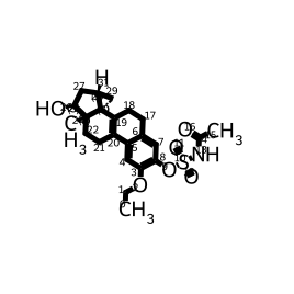 CCOc1cc2c(cc1OS(=O)(=O)NC(C)=O)CCC1=C2CC[C@]2(C)[C@@H](O)C[C@@H]3C[C@@]132